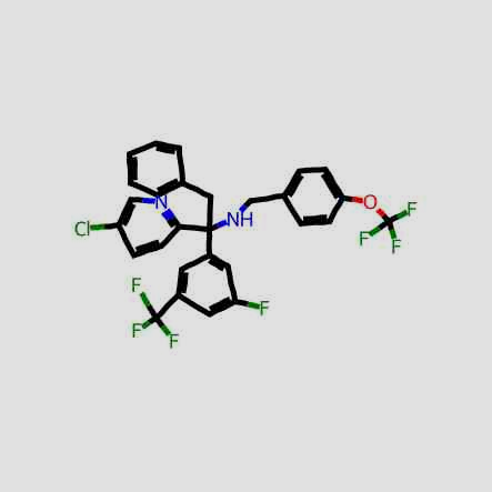 Fc1cc(C(F)(F)F)cc(C(Cc2ccccc2)(NCc2ccc(OC(F)(F)F)cc2)c2ccc(Cl)cn2)c1